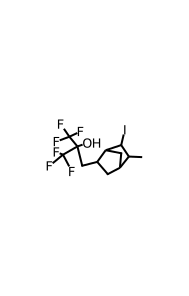 CC1C2CC(CC(O)(C(F)(F)F)C(F)(F)F)C(C2)C1I